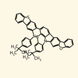 CC(C)(C)c1ccc(N2B3c4cc(C(C)(C)C)ccc4-n4c5cc6oc7ccccc7c6cc5c5ccc(c3c54)-c3cc4sc5ccccc5c4cc32)cc1